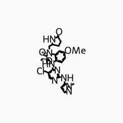 COc1ccc(Nc2nc(Nc3ccnn3C)ncc2Cl)c(N(CC2CCC(=O)N2)S(C)(=O)=O)c1